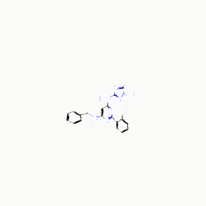 Cc1nc(Nc2cc(NCc3ccccc3)nc(-c3ccccc3C)n2)n[nH]1